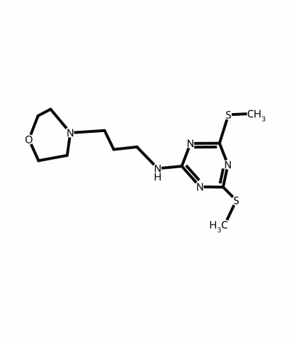 CSc1nc(NCCCN2CCOCC2)nc(SC)n1